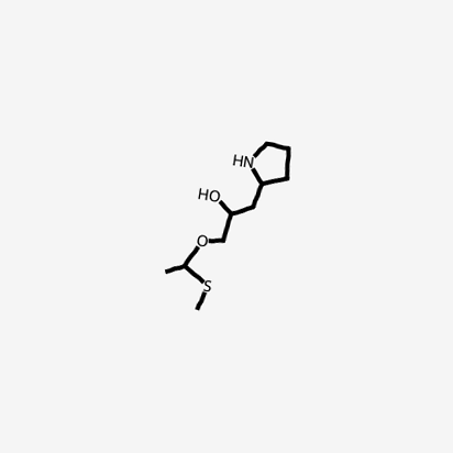 CSC(C)OCC(O)CC1CCCN1